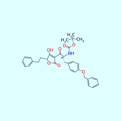 CC(C)(C)OC(=O)N[C@H](Cc1ccc(OCc2ccccc2)cc1)C(=O)C1=C(O)C(CCc2ccccc2)OC1=O